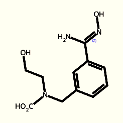 N/C(=N\O)c1cccc(CN(CCO)C(=O)O)c1